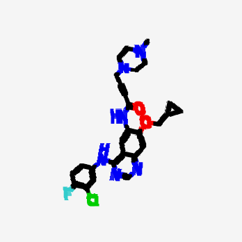 CN1CCN(CC#CC(=O)Nc2cc3c(Nc4ccc(F)c(Cl)c4)ncnc3cc2OCC2CC2)CC1